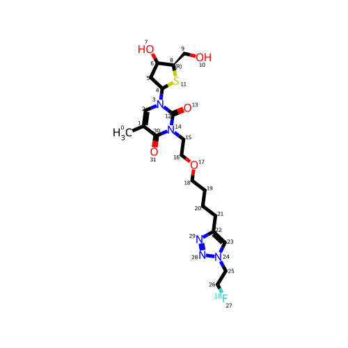 Cc1cn(C2CC(O)[C@@H](CO)S2)c(=O)n(CCOCCCCc2cn(CC[18F])nn2)c1=O